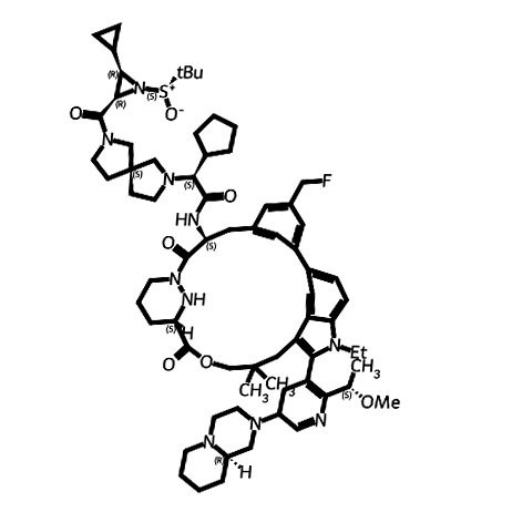 CCn1c(C2=C([C@H](C)OC)N=CC(N3CCN4CCCC[C@@H]4C3)C2)c2c3cc(ccc31)-c1cc(CF)cc(c1)C[C@H](NC(=O)[C@H](C1CCCC1)N1CC[C@]3(CCN(C(=O)[C@H]4[C@@H](C5CC5)N4[S@+]([O-])C(C)(C)C)C3)C1)C(=O)N1CCC[C@H](N1)C(=O)OCC(C)(C)C2